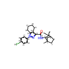 CC12CCC(C1)C(C)(C)C2NC(=O)c1nn(-c2ccc(F)cc2)c2c1CCCC2